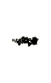 CCS(=O)(=O)Nc1nnc2cc(OCC34CC5CC(CC(C5)C3)C4)c(C3CC3)cn12